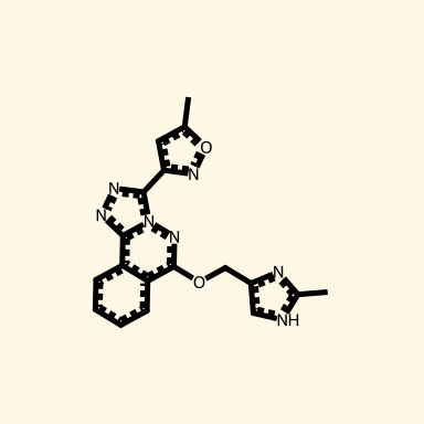 Cc1nc(COc2nn3c(-c4cc(C)on4)nnc3c3ccccc23)c[nH]1